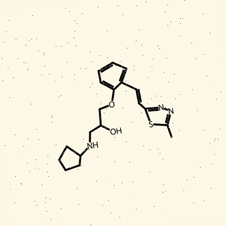 Cc1nnc(C=Cc2ccccc2OCC(O)CNC2CCCC2)s1